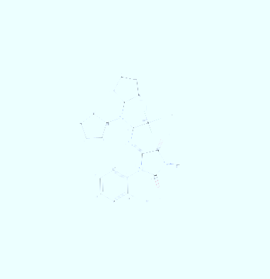 CN1C(=O)C(=NC(N(C2CCCC2)C2CCCC2)C(Cl)(Cl)Cl)N(c2ccccc2F)C1=O